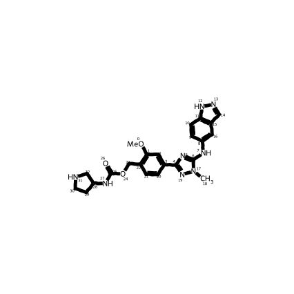 COc1cc(-c2nc(Nc3ccc4[nH]ncc4c3)n(C)n2)ccc1COC(=O)NC1CCNC1